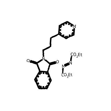 CCOC(=O)N=NC(=O)OCC.O=C1c2ccccc2C(=O)N1CCCc1ccncc1